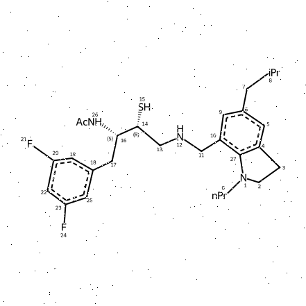 CCCN1CCc2cc(CC(C)C)cc(CNC[C@@H](S)[C@H](Cc3cc(F)cc(F)c3)NC(C)=O)c21